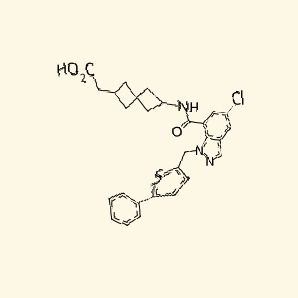 O=C(O)CC1CC2(C1)CC(NC(=O)c1cc(Cl)cc3cnn(Cc4ccc(-c5ccccc5)s4)c13)C2